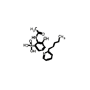 CC(=O)Nc1c(O)cccc1[As](=O)(O)O.CCCCCc1ccccn1